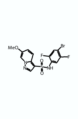 COc1ccc2c(S(=O)(=O)Nc3cc(F)c(Br)cc3F)cnn2c1